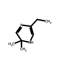 CCC1=CNC(C)(C)C=N1